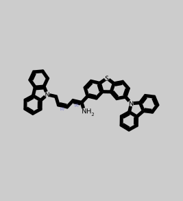 N/C(=C\C=C/Cn1c2c(c3ccccc31)C=CCC2)c1ccc2sc3ccc(-n4c5ccccc5c5ccccc54)cc3c2c1